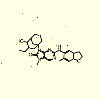 CCC1CC2(n3c(=O)n(C)c4cnc(NC5=CC6CCOC6C=C5C)nc43)CCCC(C2)C1O